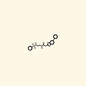 O=C(Cc1nc2ccc(-c3ccccc3)cc2s1)NCCNS(=O)(=O)c1cccnc1